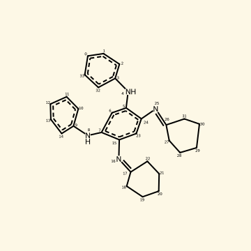 c1ccc(Nc2cc(Nc3ccccc3)c(N=C3CCCCC3)cc2N=C2CCCCC2)cc1